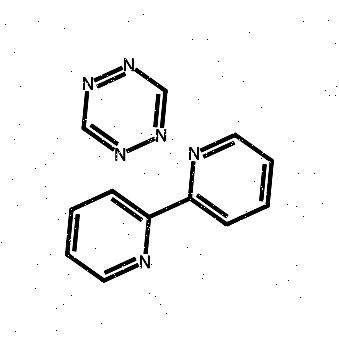 c1ccc(-c2ccccn2)nc1.c1nncnn1